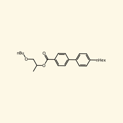 CCCCCCc1ccc(-c2ccc(C(=O)OC(C)COCCCC)cc2)cc1